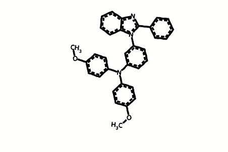 COc1ccc(N(c2ccc(OC)cc2)c2cccc(-n3c(-c4ccccc4)nc4ccccc43)c2)cc1